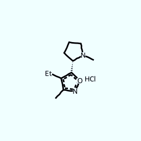 CCc1c(C)noc1[C@@H]1CCCN1C.Cl